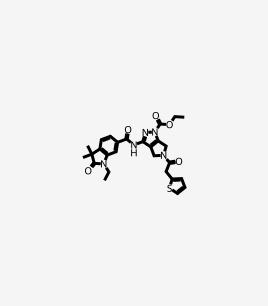 CCOC(=O)n1nc(NC(=O)c2ccc3c(c2)N(CC)C(=O)C3(C)C)c2c1CN(C(=O)Cc1cccs1)C2